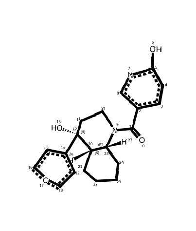 O=C(c1ccc(O)nc1)N1CC[C@](O)(c2ccccc2)[C@H]2CCCC[C@H]21